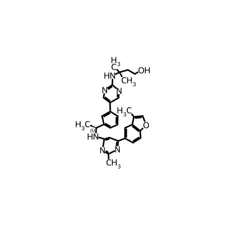 Cc1nc(N[C@@H](C)c2cccc(-c3cnc(NC(C)(C)CCO)nc3)c2)cc(-c2ccc3occ(C)c3c2)n1